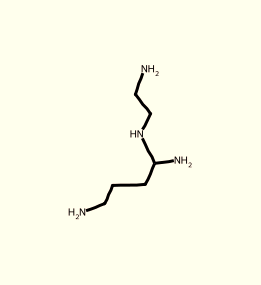 NCCCC(N)NCCN